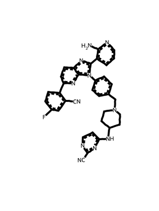 N#Cc1nccc(NC2CCN(Cc3ccc(-n4c(-c5cccnc5N)nc5ccc(-c6ccc(F)cc6C#N)nc54)cc3)CC2)n1